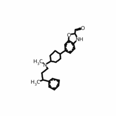 CC(CCN(C)C1CCC(c2ccc3c(c2)OC(C=O)N3)CC1)c1ccccc1